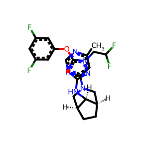 Cc1cc(N2C[C@H]3CC[C@@H](C2)[C@H]3Nc2nc(Oc3cc(F)cc(F)c3)n(CC(F)F)n2)ncn1